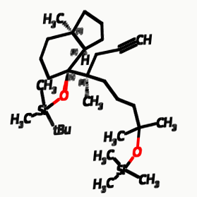 C#CC[C@@](C)(CCCC(C)(C)O[Si](C)(C)C)[C@]1(O[Si](C)(C)C(C)(C)C)CCC[C@@]2(C)CCC[C@H]21